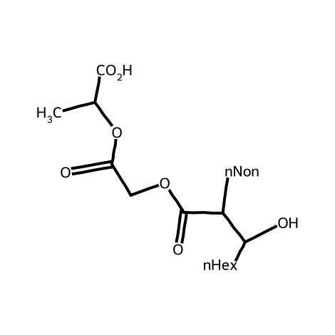 CCCCCCCCCC(C(=O)OCC(=O)OC(C)C(=O)O)C(O)CCCCCC